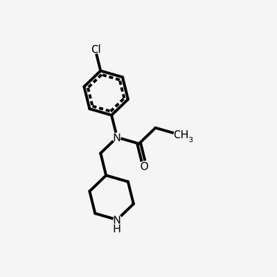 CCC(=O)N(CC1CCNCC1)c1ccc(Cl)cc1